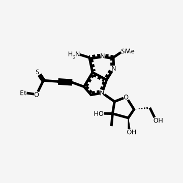 CCOC(=S)C#Cc1cn(C2O[C@H](CO)[C@@H](O)C2(C)O)c2nc(SC)nc(N)c12